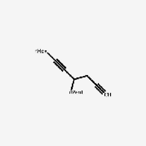 C#CCC(C#CCCCCCC)CCCCC